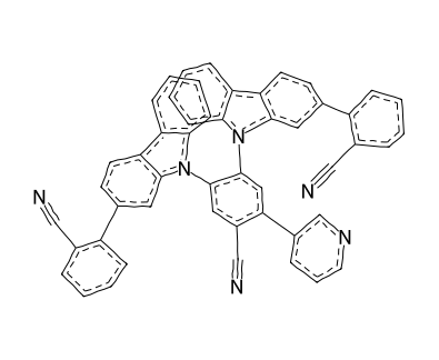 N#Cc1ccccc1-c1ccc2c3ccccc3n(-c3cc(C#N)c(-c4cccnc4)cc3-n3c4ccccc4c4ccc(-c5ccccc5C#N)cc43)c2c1